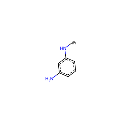 CC(C)Nc1c[c]cc(N)c1